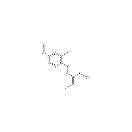 NC/C(=C/F)CCc1ccc(C=O)cc1F